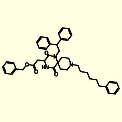 O=C(CC1NC(=O)C2(CCN(CCCCCCc3ccccc3)CC2)N(CC(c2ccccc2)c2ccccc2)C1=O)OCc1ccccc1